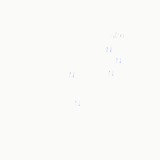 CCCCn1cc(CN(C)C2CCCc3cccnc32)nn1